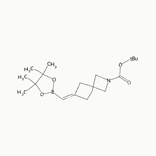 CC(C)(C)OC(=O)N1CC2(CC(=CB3OC(C)(C)C(C)(C)O3)C2)C1